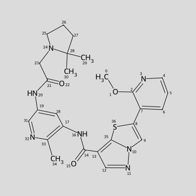 COc1ncccc1-c1cn2ncc(C(=O)Nc3cc(NC(=O)CN4CCCC4(C)C)cnc3C)c2s1